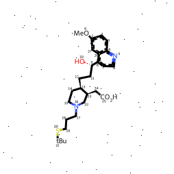 COc1ccc2nccc([C@@H](O)CC[C@@H]3CCN(CCCSC(C)(C)C)C[C@@H]3CC(=O)O)c2c1